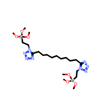 CO[Si](CCn1nnnc1CCCCCCCCCc1nnnn1CC[Si](OC)(OC)OC)(OC)OC